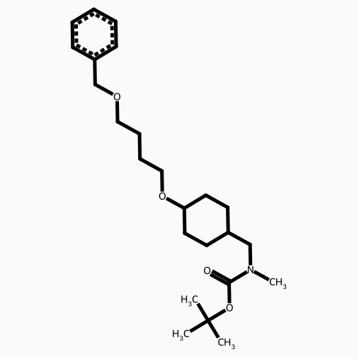 CN(CC1CCC(OCCCCOCc2ccccc2)CC1)C(=O)OC(C)(C)C